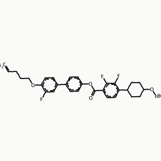 C=CCCCOc1ccc(-c2ccc(OC(=O)c3ccc(C4CCC(OCCCC)CC4)c(F)c3F)cc2)cc1F